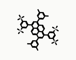 Cc1cc(C)cc(-c2cc(-c3cc([Si](C)(C)C)cc([Si](C)(C)C)c3)c3ccc4c(-c5cc(C)cc(C)c5)cc(-c5cc([Si](C)(C)C)cc([Si](C)(C)C)c5)c5ccc2c3c45)c1